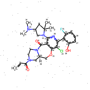 C=CC(=O)N1CCN2C(=O)c3c(N4CC(N(C)C)CC4(C)C)nc(-c4c(O)cccc4F)c(Cl)c3OC[C@H]2C1